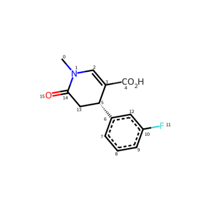 CN1C=C(C(=O)O)[C@H](c2cccc(F)c2)CC1=O